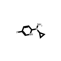 NN(C1CC1)C1C=CC(F)=CN1